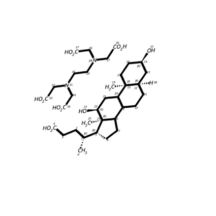 C[C@H](CCC(=O)O)[C@H]1CCC2C3CC[C@@H]4C[C@H](O)CC[C@]4(C)C3C[C@H](O)[C@@]21C.O=C(O)CN(CCN(CC(=O)O)CC(=O)O)CC(=O)O